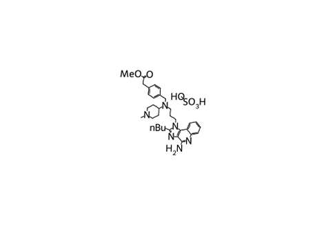 CCCCc1nc2c(N)nc3ccccc3c2n1CCCN(Cc1ccc(CC(=O)OC)cc1)C1CCN(C)CC1.O=S(=O)(O)O